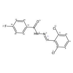 O=C(N/N=C/c1c(Cl)cccc1Cl)c1ccc(F)cc1